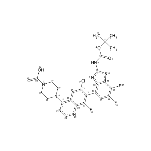 CC(C)(C)OC(=O)Nc1nc2c(-c3c(Cl)cc4c(N5CCN(C(=O)O)CC5)ncnc4c3F)cc(F)c(F)c2s1